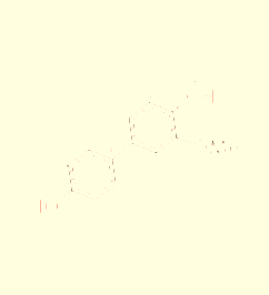 COc1cc(-c2ccc(O)cc2)ccc1O